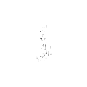 O=C(Nc1cc2cn(C3CCC(CO)CC3)nc2cn1)c1cnn2ccc(N3CCOCC3)nc12